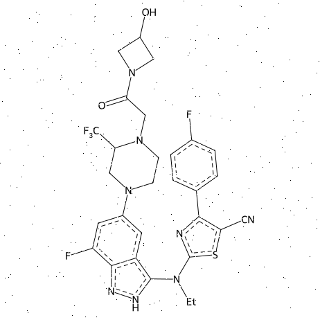 CCN(c1nc(-c2ccc(F)cc2)c(C#N)s1)c1[nH]nc2c(F)cc(N3CCN(CC(=O)N4CC(O)C4)C(C(F)(F)F)C3)cc12